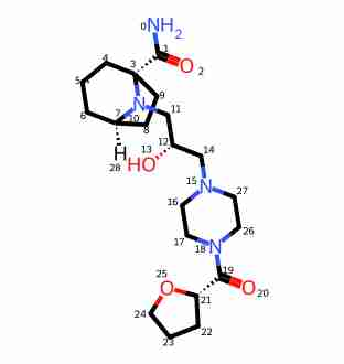 NC(=O)[C@]12C[CH]C[C@H](CC1)N2C[C@@H](O)CN1CCN(C(=O)[C@@H]2CCCO2)CC1